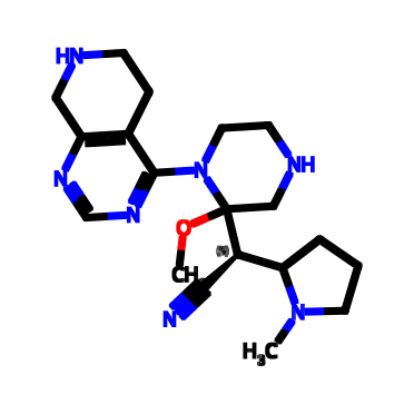 COC1([C@H](C#N)C2CCCN2C)CNCCN1c1ncnc2c1CCNC2